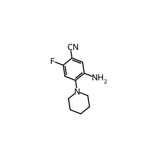 N#Cc1cc(N)c(N2CCCCC2)cc1F